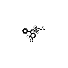 CN(C)CCS(=O)(=O)N1C=C(c2ccccc2)C2C(=O)C(=O)C=CC21